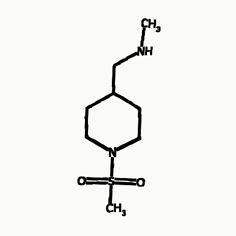 CNCC1CCN(S(C)(=O)=O)CC1